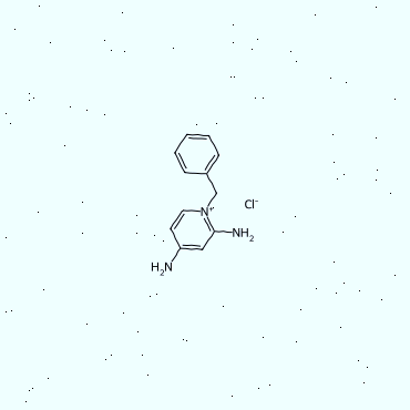 Nc1cc[n+](Cc2ccccc2)c(N)c1.[Cl-]